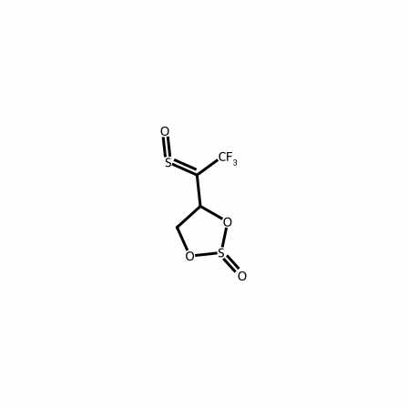 O=S=C(C1COS(=O)O1)C(F)(F)F